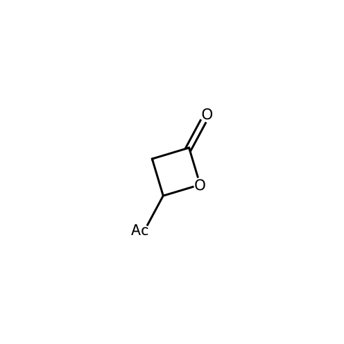 CC(=O)C1CC(=O)O1